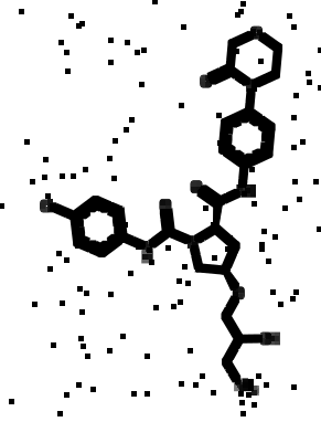 NCC(O)CO[C@@H]1C[C@H](C(=O)Nc2ccc(N3CCOCC3=O)cc2)N(C(=O)Nc2ccc(Cl)cc2)C1